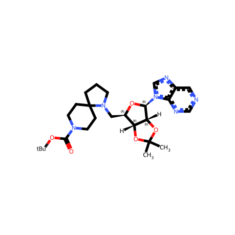 CC(C)(C)OC(=O)N1CCC2(CCCN2C[C@H]2O[C@@H](n3cnc4cncnc43)[C@@H]3OC(C)(C)O[C@@H]32)CC1